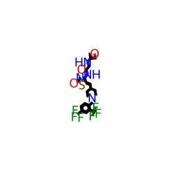 O=C(CNC1COC1)NC1=NC(=O)S/C1=C\C1CCN(Cc2ccc(C(F)(F)F)cc2C(F)(F)F)CC1